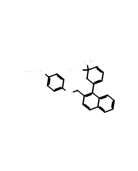 CC1(C)C=CC=C(c2c(COc3ccc(C(=O)O)cc3)ccc3ccccc23)C1